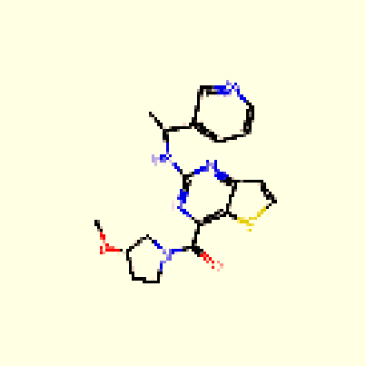 CO[C@@H]1CCN(C(=O)c2nc(NC(C)c3cccnc3)nc3ccsc23)C1